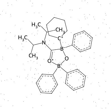 CC(C)N(C1=[O+][B-](c2ccccc2)(c2ccccc2)O[B-]1(c1ccccc1)[C+]1CCCCC1)C(C)C